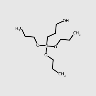 CCCO[Si](CCCO)(OCCC)OCCC